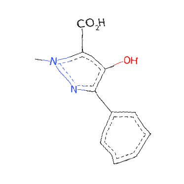 Cn1nc(-c2ccccc2)c(O)c1C(=O)O